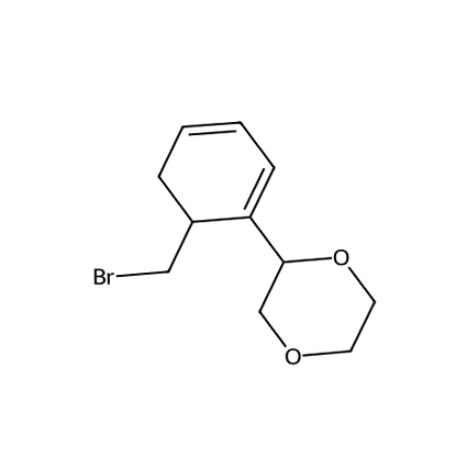 BrCC1CC=CC=C1C1COCCO1